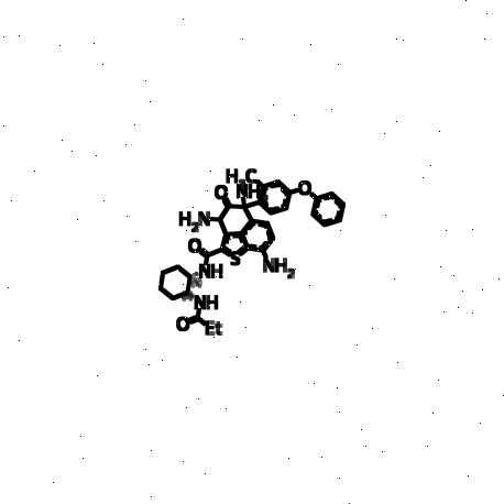 CCC(=O)N[C@@H]1CCCC[C@@H]1NC(=O)c1sc2c(N)ccc3c2c1C(N)C(=O)C3(N)c1ccc(Oc2ccccc2)cc1C